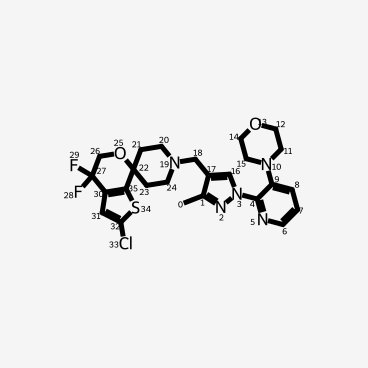 Cc1nn(-c2ncccc2N2CCOCC2)cc1CN1CCC2(CC1)OCC(F)(F)c1cc(Cl)sc12